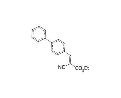 CCOC(=O)C(C#N)=Cc1ccc(-c2ccccc2)cc1